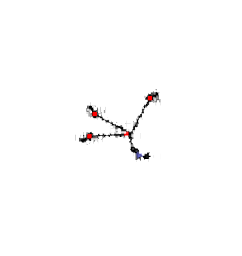 N=N/C(=C\Nc1ccc(O)c(F)c1)c1ccc2cc(OCCCC(=O)NC(COCCC(=O)NCCOCCOCCOCCOC[C@@]34CO[C@@H](O3)[C@H](NC(=O)C(F)(F)F)[C@@H](O)[C@H]4O)(COCCC(=O)NCCOCCOCCOCCOC[C@@]34CO[C@@H](O3)[C@H](NC(=O)C(F)(F)F)[C@@H](O)[C@H]4O)COCCC(=O)NCCOCCOCCOCCOC[C@@]34CO[C@@H](O3)[C@H](NC(=O)C(F)(F)F)[C@@H](O)[C@H]4O)ccc2n1